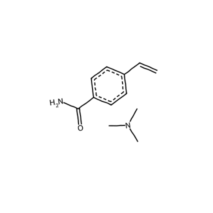 C=Cc1ccc(C(N)=O)cc1.CN(C)C